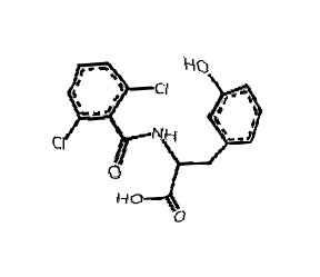 O=C(NC(Cc1cccc(O)c1)C(=O)O)c1c(Cl)cccc1Cl